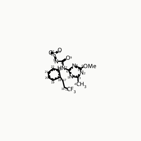 COc1nc(C)nc(NC(=O)N=S(=O)=O)n1.FC(F)(F)CCc1ccccc1